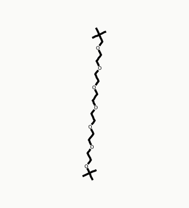 CC(C)(C)COCCOCCOCCOCCOCCOCCOC(C)(C)C